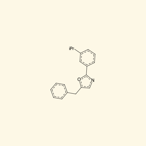 CC(C)c1cccc(-c2ncc(Cc3ccccc3)o2)c1